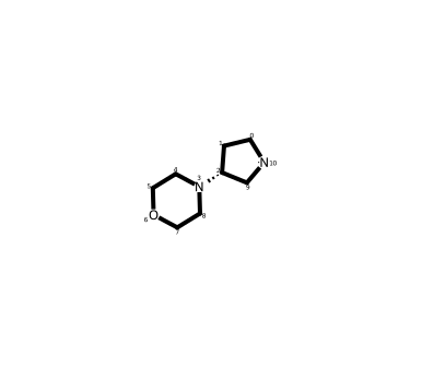 C1C[C@@H](N2CCOCC2)C[N]1